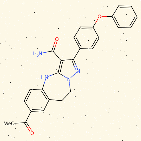 COC(=O)c1ccc2c(c1)CCn1nc(-c3ccc(Oc4ccccc4)cc3)c(C(N)=O)c1N2